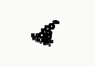 CC(C)c1nc2c(c3c1[C@@H](c1ccc(C(C)(C)C)cc1)OC31CCCC1I)C(O[Si](C)(C)C(C)(C)C)CC(C)(C)C2